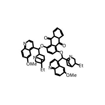 CCC1CN2CCC1CC2C(Oc1ccc(OC(c2ccnc3ccc(OC)cc23)C2CC3CCN2CC3CC)c2c1C(=O)C1C=CC=CC1C2=O)c1ccnc2ccc(OC)cc12